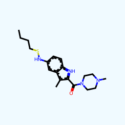 CCCCSNc1ccc2[nH]c(C(=O)N3CCN(C)CC3)c(C)c2c1